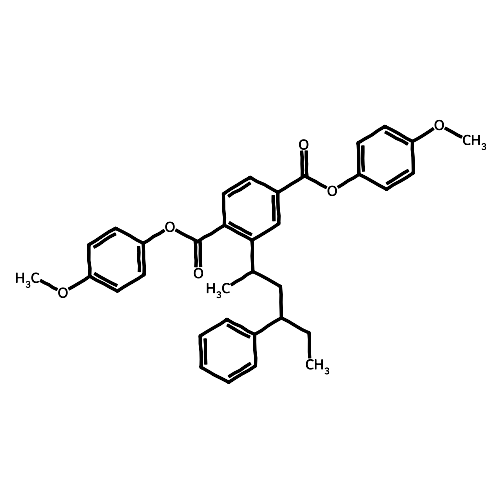 CCC(CC(C)c1cc(C(=O)Oc2ccc(OC)cc2)ccc1C(=O)Oc1ccc(OC)cc1)c1ccccc1